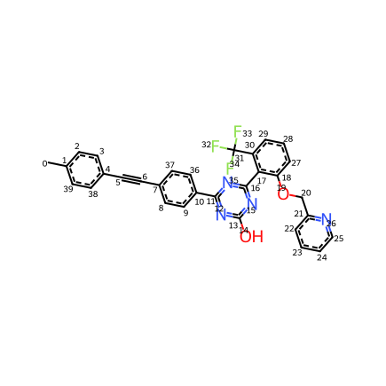 Cc1ccc(C#Cc2ccc(-c3nc(O)nc(-c4c(OCc5ccccn5)cccc4C(F)(F)F)n3)cc2)cc1